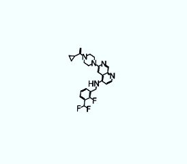 C=C(C1CC1)N1CCN(c2cc3c(NCc4cccc(C(F)F)c4F)ccnc3cn2)CC1